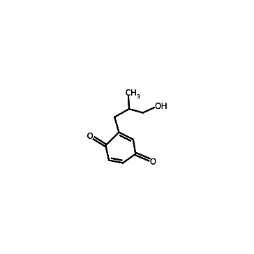 CC(CO)CC1=CC(=O)C=CC1=O